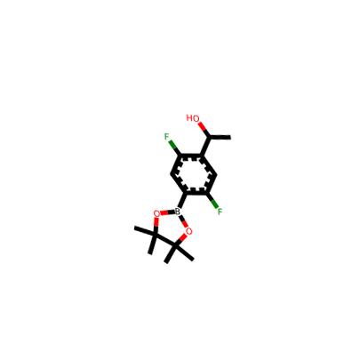 CC(O)c1cc(F)c(B2OC(C)(C)C(C)(C)O2)cc1F